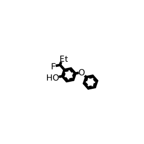 CCC(F)c1cc(Oc2ccccc2)ccc1O